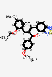 COc1ccc(CC(C(=O)c2ccc(OC(C)C)cc2)=C(C(=O)[O-])c2ccc3nsnc3c2)c(OCC(=O)O)c1.[Na+]